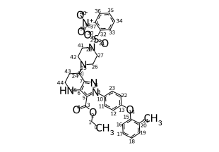 CCOC(=O)c1c2c(nn1-c1ccc(Oc3ccccc3C)cc1)[C@H](N1CCN(S(=O)(=O)c3ccccc3[N+](=O)[O-])CC1)CCN2